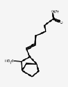 COC(=O)CCCC=CC1C2CCC(C2)C1C(=O)O